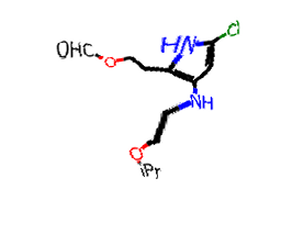 CC(C)OCCNc1cc(Cl)[nH]c1CCOC=O